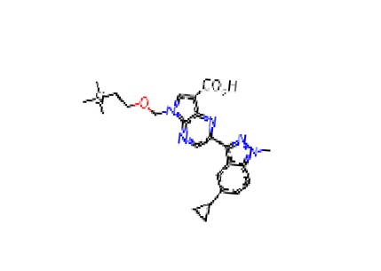 Cn1nc(-c2cnc3c(n2)c(C(=O)O)cn3COCC[Si](C)(C)C)c2cc(C3CC3)ccc21